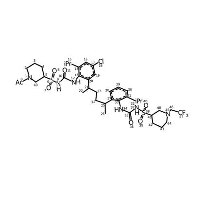 CC(=O)N1CCCC(S(=O)(=O)NC(=O)Nc2c(C(C)C)cc(Cl)cc2C(C)CCC(C)c2cccc(C(C)C)c2NC(=O)NS(=O)(=O)C2CCCN(CC(F)(F)F)C2)C1